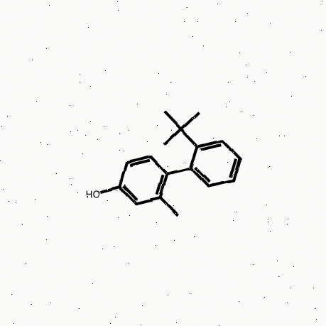 Cc1cc(O)ccc1-c1ccccc1C(C)(C)C